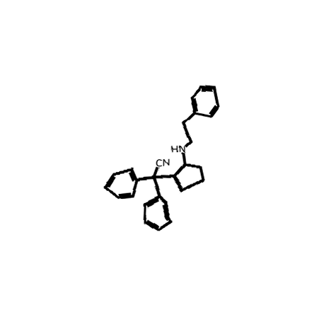 N#CC(c1ccccc1)(c1ccccc1)C1CCCC1NCCc1ccccc1